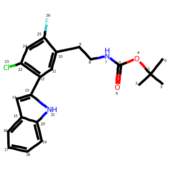 CC(C)(C)OC(=O)NCCc1cc(-c2cc3ccccc3[nH]2)c(Cl)cc1F